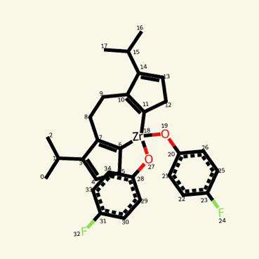 CC(C)C1=CC[C]2=C1CCC1=[C](CC=C1C(C)C)[Zr]2([O]c1ccc(F)cc1)[O]c1ccc(F)cc1